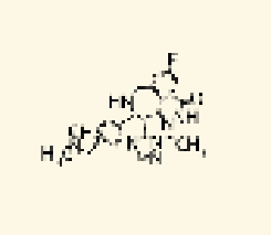 CCn1ncnc1C1c2n[nH]c(=O)c3cc(F)cc(c23)CNC1c1ccc(CN(C)C)cc1